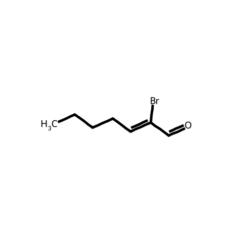 CCCCC=C(Br)C=O